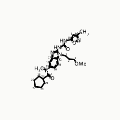 COCCCn1c(NC(=O)Nc2cc(C)no2)nc2cc(N(C)C(=O)C3CCCCC3)ccc21